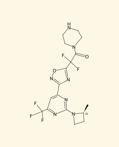 C[C@H]1CCN1c1nc(-c2noc(C(F)(F)C(=O)N3CCNCC3)n2)cc(C(F)(F)F)n1